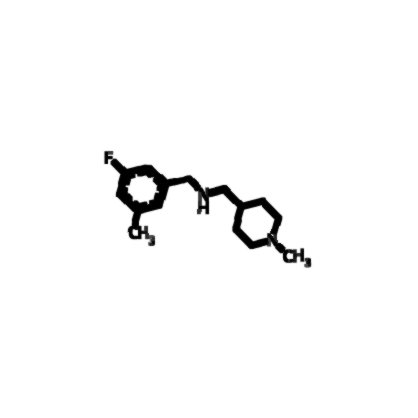 Cc1cc(F)cc(CNCC2CCN(C)CC2)c1